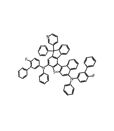 Fc1ccc(N(c2ccccc2)c2cc3sc4c(N(c5ccccc5)c5ccc(F)c(-c6ccccc6)c5)cc5c(c4c3c3ccccc23)-c2ccccc2C5(c2ccccc2)c2cccnc2)cc1-c1ccccc1